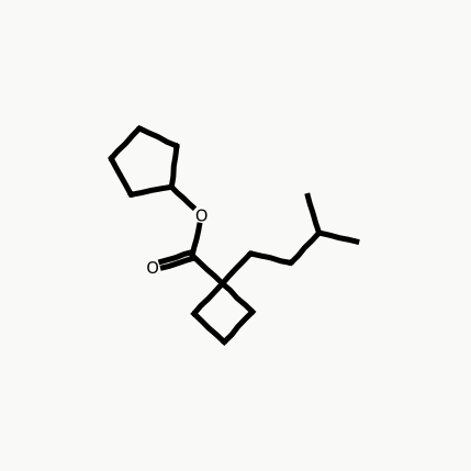 CC(C)CCC1(C(=O)OC2CCCC2)CCC1